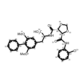 COc1cc(C[C@H](NC(=O)[C@@H]2OCO[C@H]2C(=O)Nc2ccccc2Cl)C(=O)O)cc(OC)c1-c1ccccc1